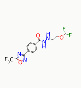 O=C(NNCCOC(F)F)c1ccc(-c2noc(C(F)(F)F)n2)cc1